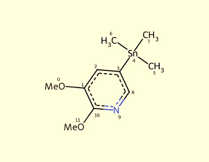 COc1c[c]([Sn]([CH3])([CH3])[CH3])cnc1OC